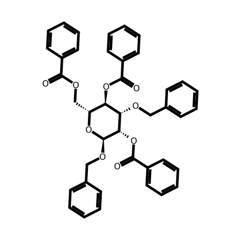 O=C(OC[C@H]1O[C@H](OCc2ccccc2)[C@@H](OC(=O)c2ccccc2)[C@@H](OCc2ccccc2)[C@@H]1OC(=O)c1ccccc1)c1ccccc1